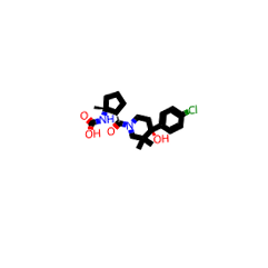 CC1(C)CN(C(=O)[C@H]2CCC[C@@]2(C)NC(=O)O)CC[C@]1(O)c1ccc(Cl)cc1